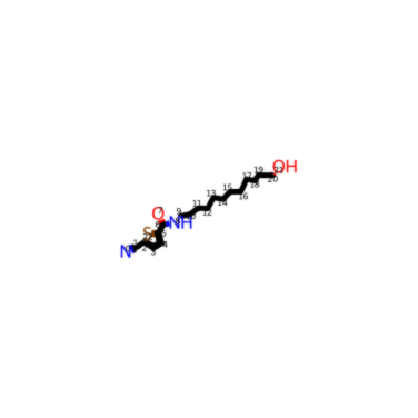 N#Cc1ccc(C(=O)NCCCCCCCCCCCCO)s1